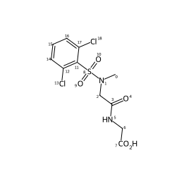 CN(CC(=O)NCC(=O)O)S(=O)(=O)c1c(Cl)cccc1Cl